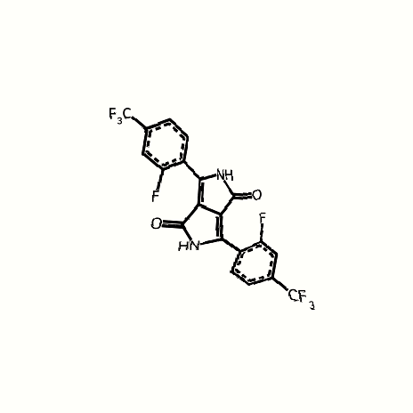 O=C1NC(c2ccc(C(F)(F)F)cc2F)=C2C(=O)NC(c3ccc(C(F)(F)F)cc3F)=C12